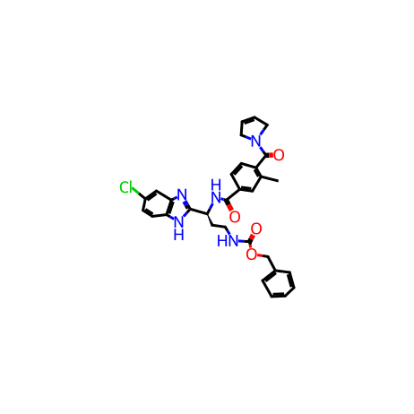 Cc1cc(C(=O)N[C@@H](CCNC(=O)OCc2ccccc2)c2nc3cc(Cl)ccc3[nH]2)ccc1C(=O)N1CC=CC1